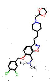 CN(C)Cc1c(OCc2ccc(Cl)c(Cl)c2)ccc2c(CCC3CCN(CC4OCCO4)CC3)noc12